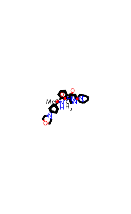 COc1cccc(C(=O)NC2CC3CCC(C2)N3c2ccc(C(=O)NCc3ccc(N4CCOCC4)cc3)cn2)c1C